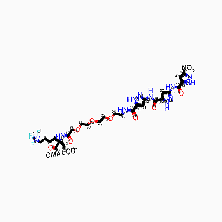 COC(=O)C(CCCC[N+](F)(F)F)(CC(=O)[O-])NC(=O)COCCOCCOCCNC(=O)c1cc(NC(=O)c2cc(NC(=O)c3cc([N+](=O)[O-])n[nH]3)n[nH]2)n[nH]1